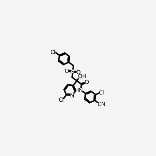 N#Cc1ccc(NC(=O)C(O)(CS(=O)(=O)Cc2ccc(Cl)cc2)c2ccc(Cl)nc2)cc1Cl